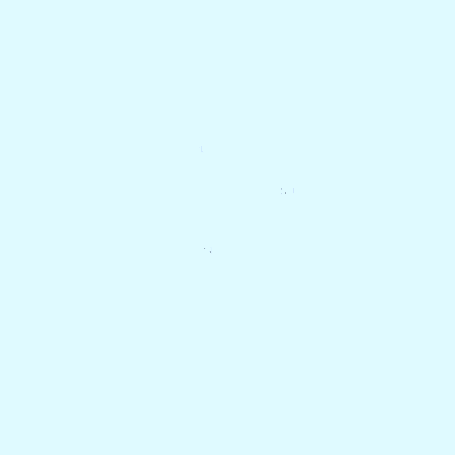 Clc1cc2c(ccn2Cc2ccccc2)c2[nH]c3ccccc3c12